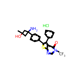 CC1(O)CC(N)(c2ccc(-c3sc4ncn(CC(F)(F)F)c(=O)c4c3-c3ccccc3)cc2)C1.Cl